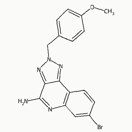 COc1ccc(Cn2nc3c(N)nc4cc(Br)ccc4c3n2)cc1